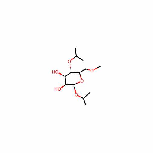 COC[C@H]1O[C@@H](OC(C)C)[C@@H](O)[C@@H](O)[C@@H]1OC(C)C